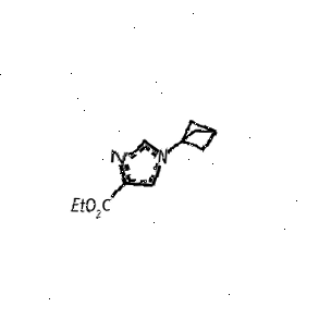 CCOC(=O)c1cn(C23CC(C2)C3)cn1